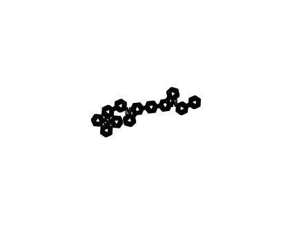 C1=C(c2ccc(C3=CC=C4C(C3)c3ccccc3N4c3cccc(-c4cccc([Si](c5ccccc5)(c5ccccc5)c5ccccc5)c4)c3)cc2)CC2C(=C1)N(c1cccc(-c3ccccc3)c1)c1ccccc12